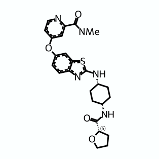 CNC(=O)c1cc(Oc2ccc3nc(N[C@H]4CC[C@@H](NC(=O)[C@@H]5CCCO5)CC4)sc3c2)ccn1